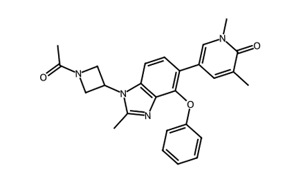 CC(=O)N1CC(n2c(C)nc3c(Oc4ccccc4)c(-c4cc(C)c(=O)n(C)c4)ccc32)C1